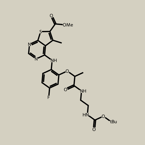 COC(=O)c1sc2ncnc(Nc3ccc(F)cc3OC(C)C(=O)NCCNC(=O)OC(C)(C)C)c2c1C